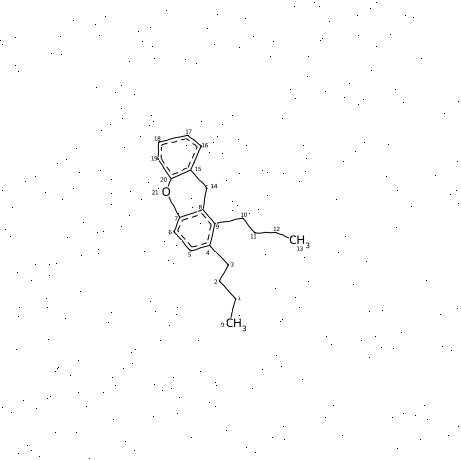 CCCCc1ccc2c(c1CCCC)[CH]c1ccccc1O2